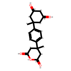 CC1(c2ccc(C3(C)CC(=O)OC(=O)C3)cc2)CC(=O)CC(=O)C1